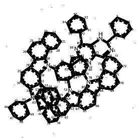 C1=NC(c2ccccc2)Nc2c1nc(-c1cc(-n3c4c5ccccc5ccc4c4ccc5c(c6ccc7ccccc7c6n5-c5ccccc5)c43)cc(-n3c4c5ccccc5ccc4c4ccc5c6ccc7ccccc7c6n(-c6ccccc6)c5c43)c1)nc2-c1ccccc1